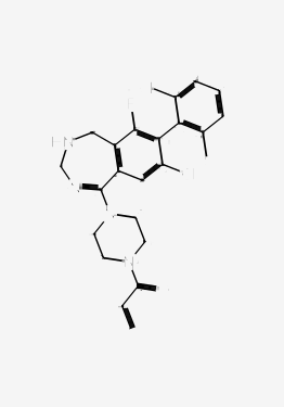 C=CC(=O)N1CCN(C2=NCNCc3c2cc(Cl)c(-c2c(C)cccc2Cl)c3F)CC1